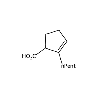 CCCCCC1=CCCC1C(=O)O